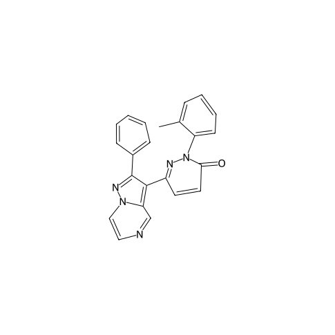 Cc1ccccc1-n1nc(-c2c(-c3ccccc3)nn3ccncc23)ccc1=O